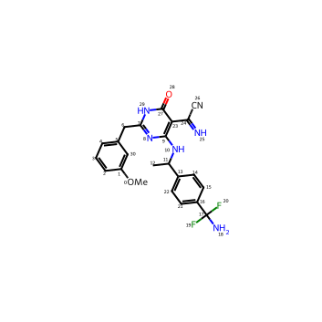 COc1cccc(Cc2nc(NC(C)c3ccc(C(N)(F)F)cc3)c(C(=N)C#N)c(=O)[nH]2)c1